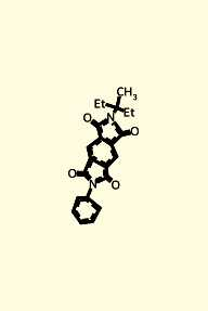 CCC(C)(CC)n1c(=O)c2cc3c(=O)n(-c4ccccc4)c(=O)c3cc2c1=O